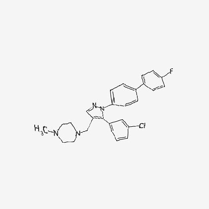 CN1CCN(Cc2cnn(-c3ccc(-c4ccc(F)cc4)cc3)c2-c2cccc(Cl)c2)CC1